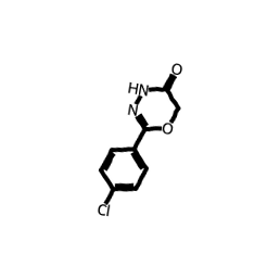 O=C1COC(c2ccc(Cl)cc2)=NN1